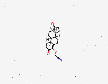 C[C@]12CCC(=O)C(SCC#N)=C1CC[C@@H]1[C@H]2CC[C@]2(C)C(=O)CC[C@@H]12